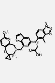 Cc1c([C@H](CC(=O)O)c2cc(CN3Cc4nc(O)ccc4OC4(CC4)[C@H]3C)c3sccc3c2)ccc2c1nnn2C